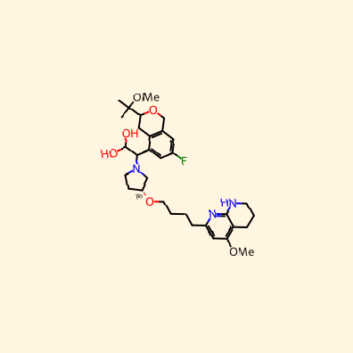 COc1cc(CCCCO[C@@H]2CCN(C(c3cc(F)cc4c3CC(C(C)(C)OC)OC4)C(O)O)C2)nc2c1CCCN2